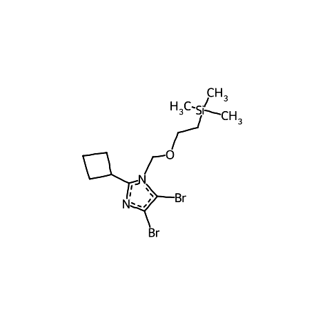 C[Si](C)(C)CCOCn1c(C2CCC2)nc(Br)c1Br